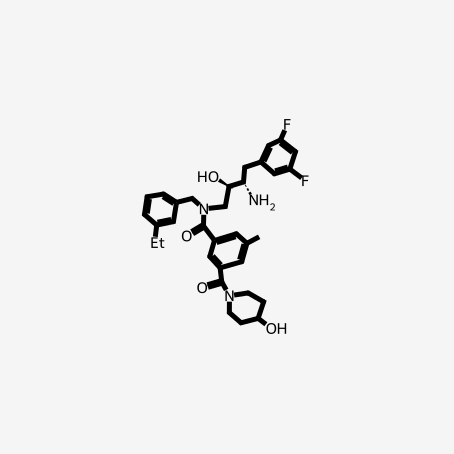 CCc1cccc(CN(C[C@@H](O)[C@@H](N)Cc2cc(F)cc(F)c2)C(=O)c2cc(C)cc(C(=O)N3CCC(O)CC3)c2)c1